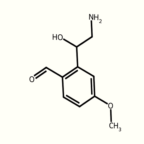 COc1ccc(C=O)c(C(O)CN)c1